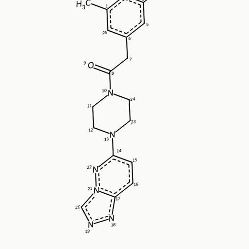 Cc1cc(P)cc(CC(=O)N2CCN(c3ccc4nncn4n3)CC2)c1